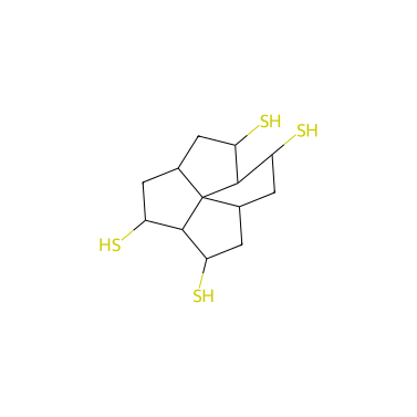 SC1CC2CC(S)C3C(S)CC4CC(S)C1C243